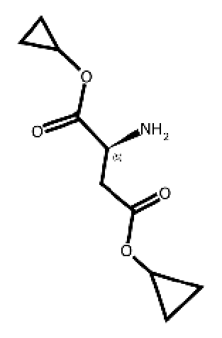 N[C@@H](CC(=O)OC1CC1)C(=O)OC1CC1